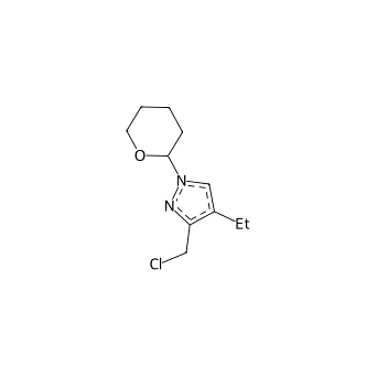 CCc1cn(C2CCCCO2)nc1CCl